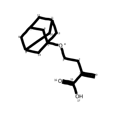 C=C(CCOC12CC3CC(CC(C3)C1)C2)C(=O)O